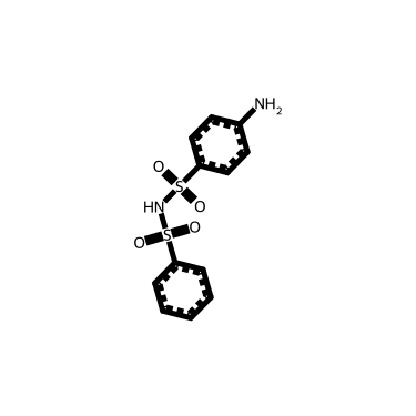 Nc1ccc(S(=O)(=O)NS(=O)(=O)c2ccccc2)cc1